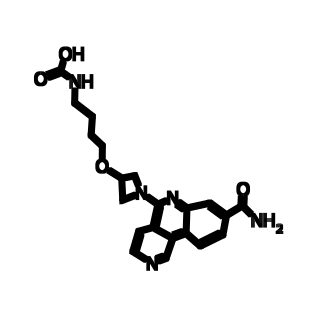 NC(=O)c1ccc2c(c1)nc(N1CC(OCCCCNC(=O)O)C1)c1ccncc12